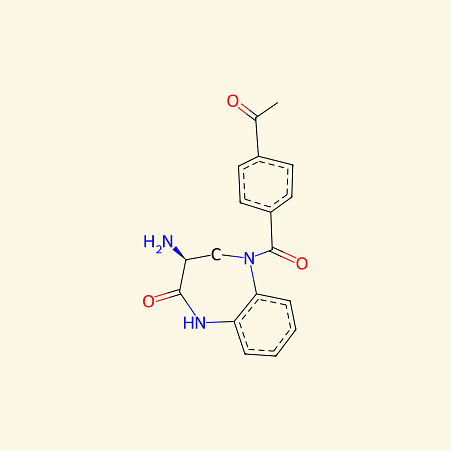 CC(=O)c1ccc(C(=O)N2C[C@H](N)C(=O)Nc3ccccc32)cc1